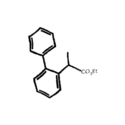 CCOC(=O)C(C)c1ccccc1-c1ccccc1